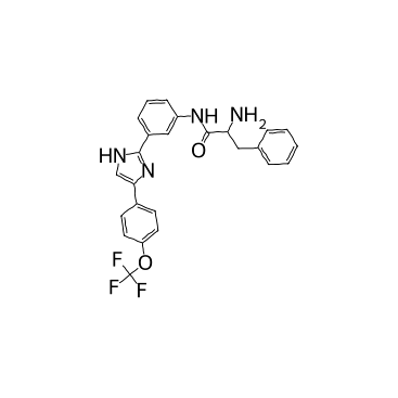 NC(Cc1ccccc1)C(=O)Nc1cccc(-c2nc(-c3ccc(OC(F)(F)F)cc3)c[nH]2)c1